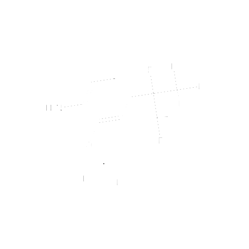 Cc1cc(C(F)(C(F)(F)F)C(F)(F)F)cc(OC(F)(F)F)c1N